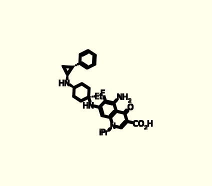 CC[C@]1(Nc2cc3c(c(N)c2F)c(=O)c(C(=O)O)cn3C(C)C)CC[C@@H](N[C@H]2C[C@@H]2c2ccccc2)CC1